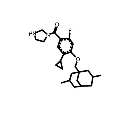 CC1CC2CC(C)CC(COc3cc(F)c(C(=O)N4CCNC4)cc3C3CC3)(C1)C2